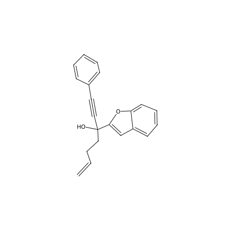 C=CCCC(O)(C#Cc1ccccc1)c1cc2ccccc2o1